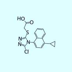 O=C(O)CSc1nnc(Cl)n1-c1ccc(C2CC2)c2ccccc12